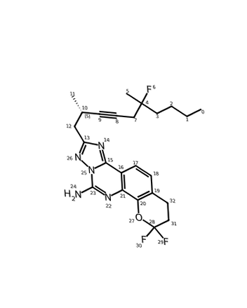 CCCCC(C)(F)CC#C[C@@H](C)Cc1nc2c3ccc4c(c3nc(N)n2n1)OC(F)(F)CC4